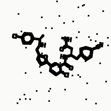 CNC(=O)C[C@@H](Cc1ccc(C#N)cc1)NC(=O)C1C=C(c2ccc(CN[C@H](C)c3ccc(Cl)cc3)o2)C=CC1Cl